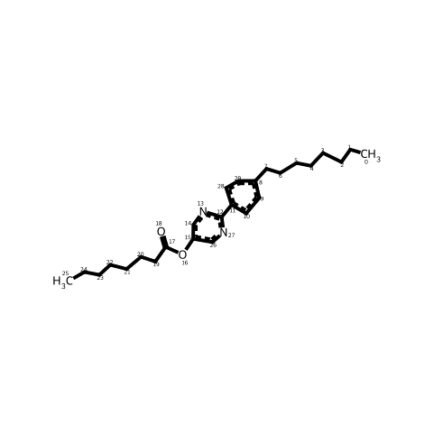 CCCCCCCCc1ccc(-c2ncc(OC(=O)CCCCCCC)cn2)cc1